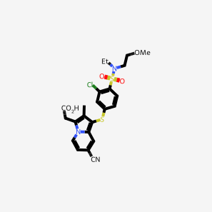 CCN(CCOC)S(=O)(=O)c1ccc(Sc2c(C)c(CC(=O)O)n3ccc(C#N)cc23)cc1Cl